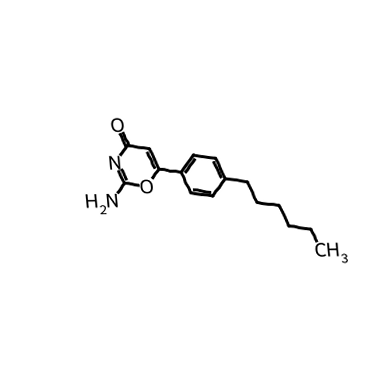 CCCCCCc1ccc(-c2cc(=O)nc(N)o2)cc1